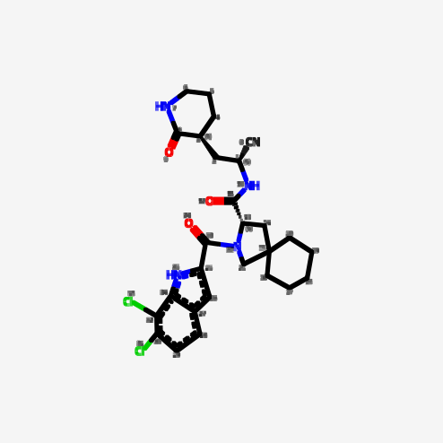 N#C[C@H](C[C@@H]1CCCNC1=O)NC(=O)[C@@H]1CC2(CCCCC2)CN1C(=O)c1cc2ccc(Cl)c(Cl)c2[nH]1